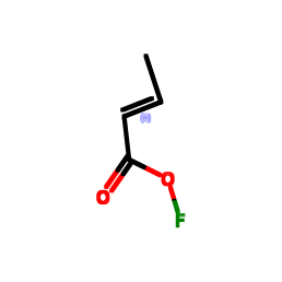 C/C=C/C(=O)OF